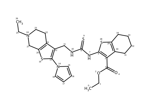 CCOC(=O)c1c(NC(=S)NCc2c(-n3cccc3)sc3c2CCN(CC)C3)sc2c1CCCC2